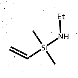 C=C[Si](C)(C)NCC